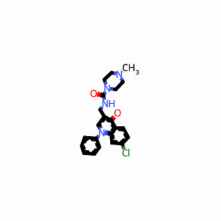 CN1CCN(C(=O)NCc2cn(-c3ccccc3)c3cc(Cl)ccc3c2=O)CC1